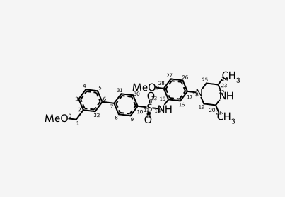 COCc1cccc(-c2ccc(S(=O)(=O)Nc3cc(N4CC(C)NC(C)C4)ccc3OC)cc2)c1